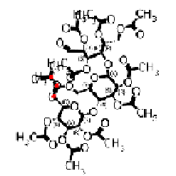 CC(=O)OC[C@H]1O[C@@H](O[C@H]2[C@H](OC(C)=O)[C@@H](OC(C)=O)[C@H](O[C@@H]([C@H](OC(C)=O)[C@H](C=O)OC(C)=O)[C@@H](COC(C)=O)OC(C)=O)O[C@@H]2COC(C)=O)[C@H](OC(C)=O)[C@@H](OC(C)=O)[C@@H]1OC(C)=O